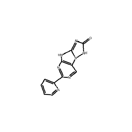 O=c1nc2[nH]c3nc(-c4ccccn4)ncc3n2[nH]1